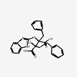 CC(CCc1ccccc1)(C(=O)O)C(Cc1ccccc1)(Sc1nc2ccccc2[nH]1)C(=O)O